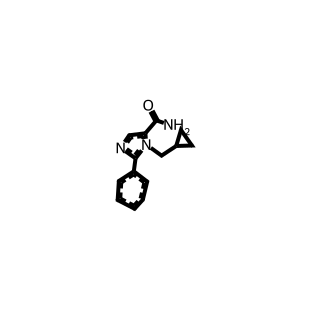 NC(=O)c1cnc(-c2ccccc2)n1CC1CC1